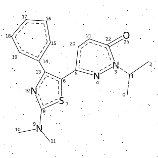 CC(C)n1nc(-c2sc(N(C)C)nc2-c2ccccc2)ccc1=O